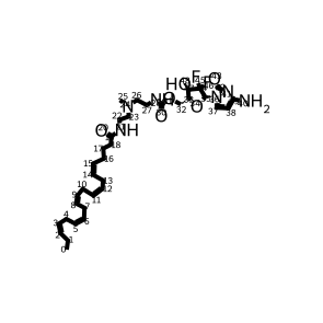 CC/C=C\C/C=C\C/C=C\C/C=C\C/C=C\CCCC(=O)NCCN(C)CCNC(=O)OC[C@H]1O[C@@H](n2ccc(N)nc2=O)C(F)(F)[C@@H]1O